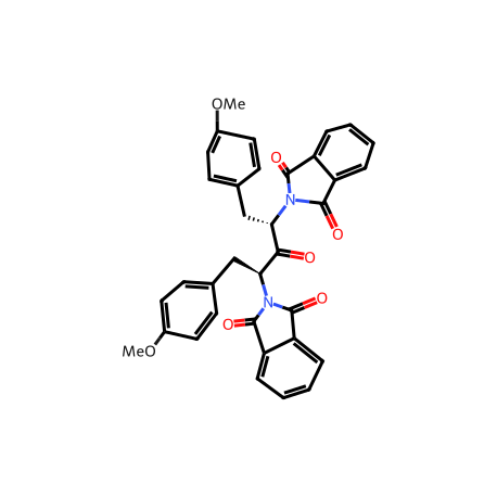 COc1ccc(C[C@@H](C(=O)[C@H](Cc2ccc(OC)cc2)N2C(=O)c3ccccc3C2=O)N2C(=O)c3ccccc3C2=O)cc1